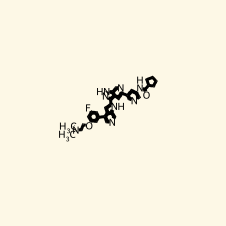 CN(C)CCOc1cc(F)cc(-c2cncc3[nH]c(-c4n[nH]c5cnc(-c6cncc(NC(=O)C7CCCC7)c6)cc45)cc23)c1